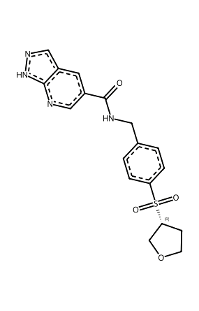 O=C(NCc1ccc(S(=O)(=O)[C@@H]2CCOC2)cc1)c1cnc2[nH]ncc2c1